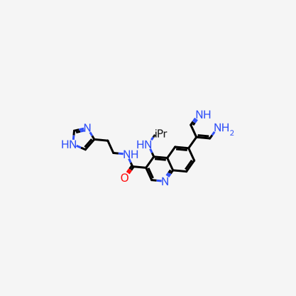 CC(C)Nc1c(C(=O)NCCc2c[nH]cn2)cnc2ccc(/C(C=N)=C/N)cc12